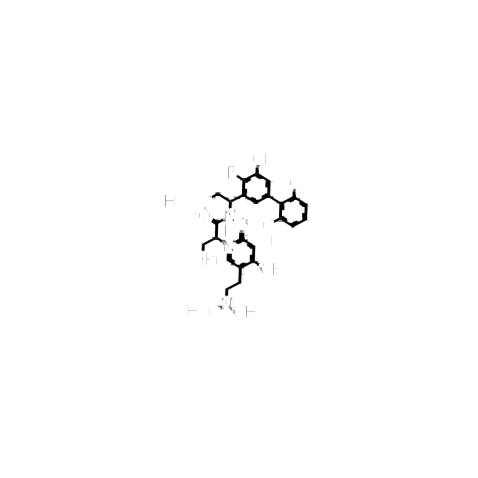 Cc1cc(-c2c(C)cccc2Cl)cc(C(CC(=O)O)NC(=O)C(CC(C)C)n2cc(CCN(C)C)c(C(F)(F)F)cc2=O)c1F